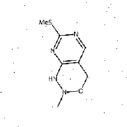 CSc1ncc2c(n1)NN(C)OC2